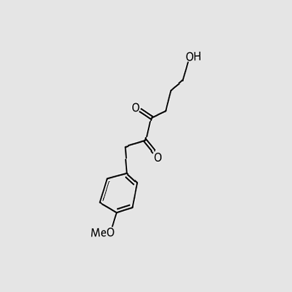 COc1ccc(CC(=O)C(=O)CCCO)cc1